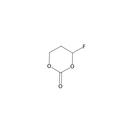 O=C1OCCC(F)O1